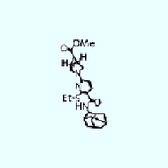 CCSc1nc(N2C[C@@H]3C(C(=O)OC)[C@@H]3C2)ccc1C(=O)NC1C2CC3CC(C2)CC1C3